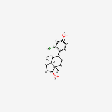 C[C@]12CC[C@H](c3ccc(O)cc3F)C[C@@H]1CC[C@@H]2O